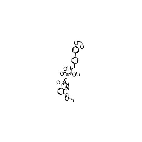 COc1cccc2c(=O)n(CC[C@H](C(=O)O)[C@H](O)CCc3ccc(-c4ccc5c(c4)OCCO5)cc3)nnc12